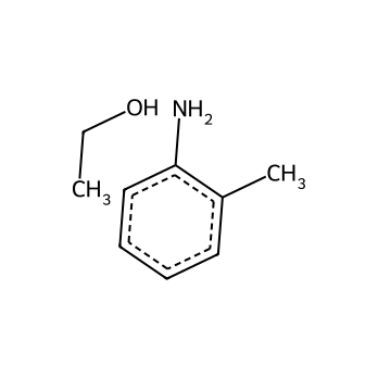 CCO.Cc1ccccc1N